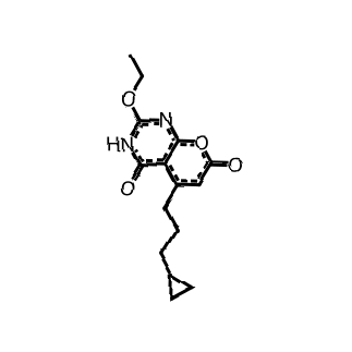 CCOc1nc2oc(=O)cc(CCCC3CC3)c2c(=O)[nH]1